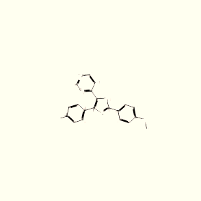 CSc1ccc(-c2nc(-c3ccc(F)cc3)c(-c3ccncn3)[nH]2)cc1